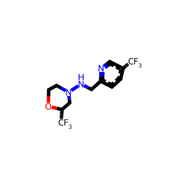 FC(F)(F)c1ccc(CNN2CCOC(C(F)(F)F)C2)nc1